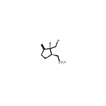 C=C1CC[C@H](CC(=O)O)[C@@]1(C)CBr